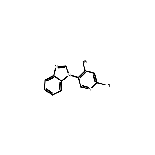 CCCc1cc(C(C)C)ncc1-n1cnc2ccccc21